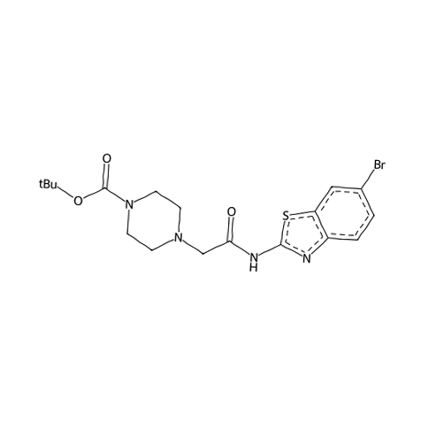 CC(C)(C)OC(=O)N1CCN(CC(=O)Nc2nc3ccc(Br)cc3s2)CC1